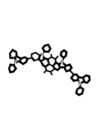 CC1c2cc3c4c(n(-c5ccccc5)c3c3c2-c2c(cc5c6cc(-c7ccc8c(c7)c7ccccc7n8-c7ccccc7)ccc6n(-c6ccccc6)c5c2C(C)C3C)C1C)CCC(c1ccc2c(c1)c1ccccc1n2-c1ccccc1)=C4